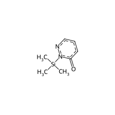 C[Si](C)(C)n1ncccc1=O